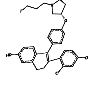 Oc1ccc2c(c1)CCC(c1ccc(Cl)cc1Cl)=C2c1ccc(O[C@H]2CCN(CCCF)C2)cc1